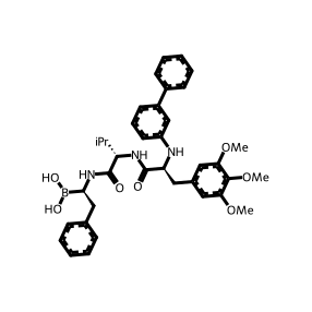 COc1cc(C[C@H](Nc2cccc(-c3ccccc3)c2)C(=O)N[C@H](C(=O)N[C@@H](Cc2ccccc2)B(O)O)C(C)C)cc(OC)c1OC